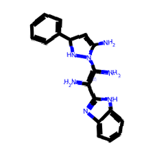 NC1=CC(c2ccccc2)NN1/C(N)=C(\N)c1nc2ccccc2[nH]1